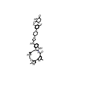 Cc1cc2cc(n1)-c1cnn(C)c1OCC[C@H]1C=C1CN1/C(=N/C2=O)Nc2ccc(NC3CN(C4CCN(c5cc(F)c([C@H]6CCC(=O)NC6=O)c(F)c5)CC4)C3)cc21